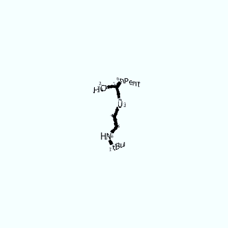 CCCCCC(O)OCCNC(C)(C)C